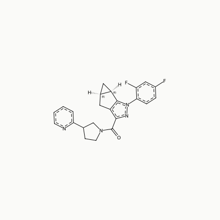 O=C(c1nn(-c2ccc(F)cc2F)c2c1C[C@H]1C[C@@H]21)N1CCC(c2ccccn2)C1